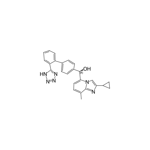 Cc1ccc([C@H](O)c2ccc(-c3ccccc3-c3nnn[nH]3)cc2)n2cc(C3CC3)nc12